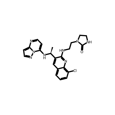 C[C@H](Nc1ccnc2ccnn12)c1cc2cccc(Cl)c2nc1NCCN1CCNC1=O